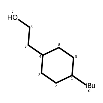 CCC(C)C1CCC(CCO)CC1